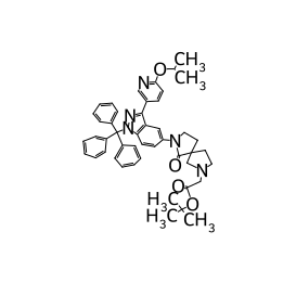 CC(C)Oc1ccc(-c2nn(C(c3ccccc3)(c3ccccc3)c3ccccc3)c3ccc(N4CCC5(CCN(CC(=O)OC(C)(C)C)C5)C4=O)cc23)cn1